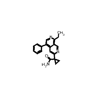 CCc1ncc(-c2ccccc2)c2cc(C3(C(N)=O)CC3)ncc12